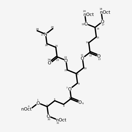 CCCCCCCCOC(CCC(=O)OCC(COC(=O)CCC(OCCCCCCCC)OCCCCCCCC)COC(=O)CCN(C)C)OCCCCCCCC